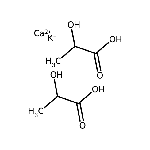 CC(O)C(=O)O.CC(O)C(=O)O.[Ca+2].[K+]